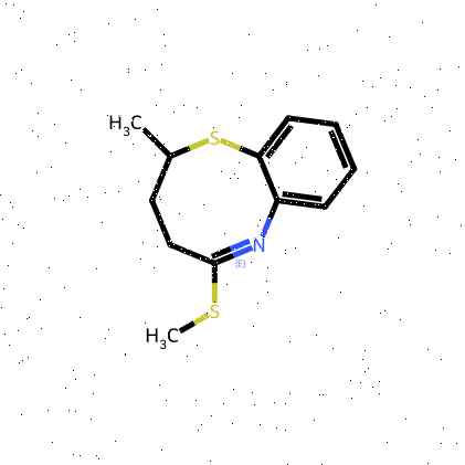 CS/C1=N/c2ccccc2SC(C)CC1